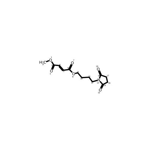 COC(=O)C=CC(=O)OCCCCN1C(=O)CCC1=O